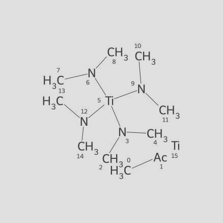 CC(C)=O.C[N](C)[Ti]([N](C)C)([N](C)C)[N](C)C.[Ti]